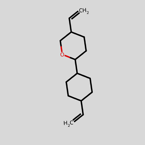 C=CC1CCC(C2CCC(C=C)CO2)CC1